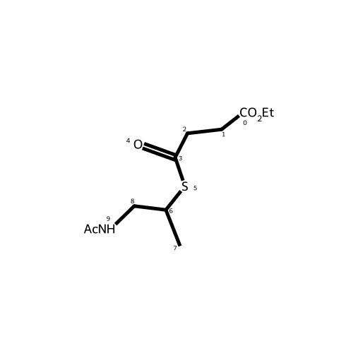 CCOC(=O)CCC(=O)SC(C)CNC(C)=O